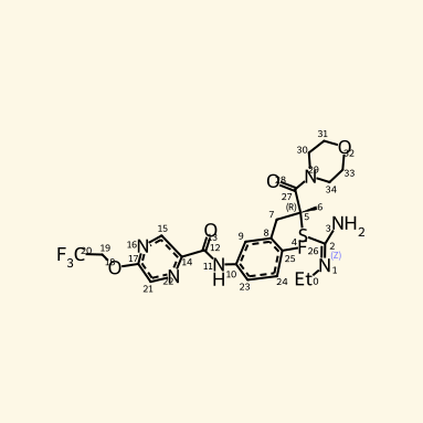 CC/N=C(/N)S[C@](C)(Cc1cc(NC(=O)c2cnc(OCC(F)(F)F)cn2)ccc1F)C(=O)N1CCOCC1